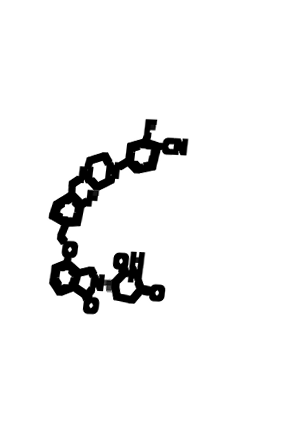 N#Cc1ccc(N2CCN(Cc3ccc(COc4cccc5c4CN([C@H]4CCC(=O)NC4=O)C5=O)cc3F)CC2)cc1F